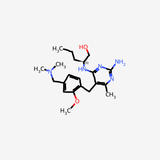 CCC[C@@H](CO)Nc1nc(N)nc(C)c1Cc1ccc(CN(C)C)cc1OC